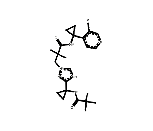 CC(C)(C)C(=O)NC1(c2n[n+](CC(C)(C)C(=O)NC3(c4ccncc4F)CC3)c[nH]2)CC1